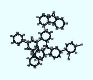 Cc1ccc(-c2ccc3c4ccccc4n(-c4ccc(-c5cccc6oc7ccccc7c56)cc4-c4nc(-c5ccccc5)nc(-c5ccccc5)n4)c3c2)c(C)c1